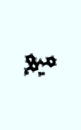 SOc1ccc(N=Nc2[c]cccc2)c2ccccc12.[NaH]